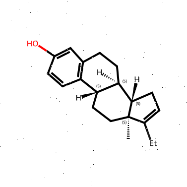 CCC1=CC[C@H]2[C@@H]3CCc4cc(O)ccc4[C@H]3CC[C@]12C